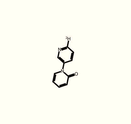 [2H]c1ccc(-n2ccccc2=O)cn1